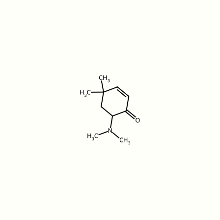 CN(C)C1CC(C)(C)C=CC1=O